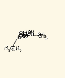 CC(C)CCCCCCCCCCCCCC(CC(O)CO)C(=O)OCCOOC(=O)C(CCCCCCCCCCCCCC(C)C)CC(O)CO